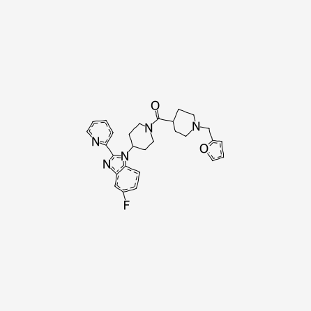 O=C(C1CCN(Cc2ccco2)CC1)N1CCC(n2c(-c3ccccn3)nc3cc(F)ccc32)CC1